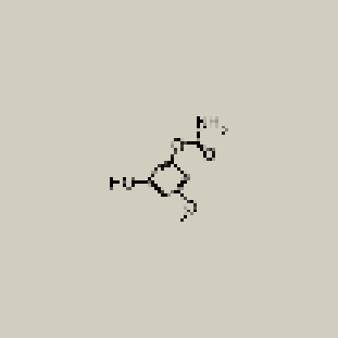 COc1cc(O)cc(OC(N)=O)c1